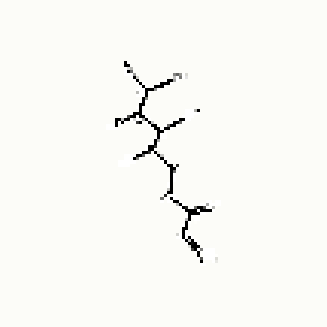 C=CC(=O)OCC(F)C(F)C(F)C(F)F